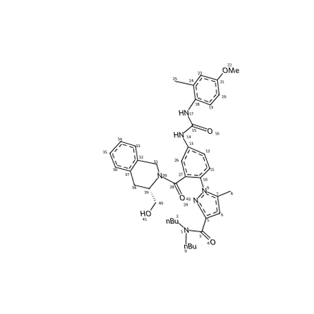 CCCCN(CCCC)C(=O)c1cc(C)n(-c2ccc(NC(=O)Nc3ccc(OC)cc3C)cc2C(=O)N2Cc3ccccc3C[C@H]2CO)n1